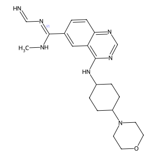 CN/C(=N\C=N)c1ccc2ncnc(NC3CCC(N4CCOCC4)CC3)c2c1